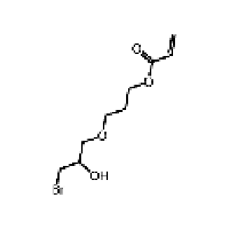 C=CC(=O)OCCCOCC(O)CBr